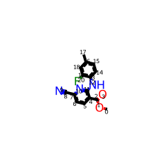 COC(=O)c1ccc(C#N)nc1Nc1ccc(C)cc1F